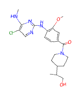 CNc1nc(Nc2ccc(C(=O)N3CCC(C(C)CO)CC3)cc2OC)ncc1Cl